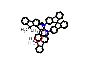 CC1(C)c2ccccc2-c2ccc(N(c3ccccc3)c3ccc4c(c3)C3(c5ccccc5-4)c4ccccc4-c4ccc(N(c5ccc6c(c5)C(C)(C)c5ccccc5-6)c5ccccc5-c5ccccc5)cc43)cc21